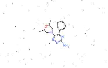 CC1CN(c2nnc(N)nc2-c2ccccc2)CC(C)O1